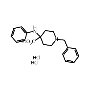 CCOC(=O)C1(Nc2ccccc2)CCN(Cc2ccccc2)CC1.Cl.Cl